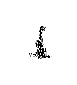 COc1c(Cl)c(NC(=O)c2csc3c(NCCCCCn4ccnc4)ncnc23)c(Cl)c(OC)c1Br